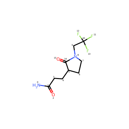 NC(=O)CCC1CCN(CC(F)(F)F)C1=O